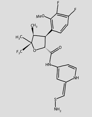 COc1c([C@H]2[C@H](C(=O)NC3=CC(=CSN)NC=C3)O[C@@](C)(C(F)(F)F)[C@H]2C)ccc(F)c1F